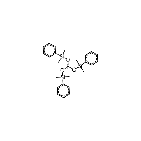 C[Si](C)(OP(O[Si](C)(C)c1ccccc1)O[Si](C)(C)c1ccccc1)c1ccccc1